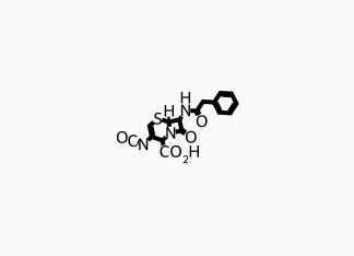 O=C=NC1=CS[C@@H]2C(NC(=O)Cc3ccccc3)C(=O)N2C1C(=O)O